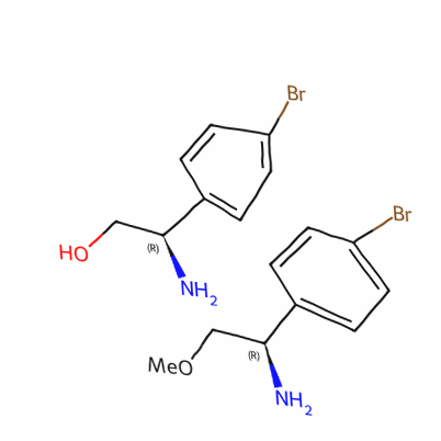 COC[C@H](N)c1ccc(Br)cc1.N[C@@H](CO)c1ccc(Br)cc1